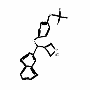 Cl.FC(F)(F)Oc1ccc(OC(c2ccc3ccccc3c2)C2CNC2)cc1